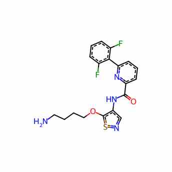 NCCCCOc1sncc1NC(=O)c1cccc(-c2c(F)cccc2F)n1